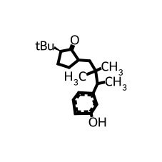 CC(c1cccc(O)c1)C(C)(C)CC1CC[C@@H](C(C)(C)C)C1=O